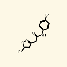 CC(C)c1cc(CC(=O)Nc2ccc(Br)cc2)no1